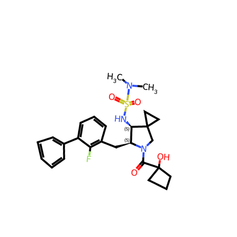 CN(C)S(=O)(=O)N[C@@H]1[C@H](Cc2cccc(-c3ccccc3)c2F)N(C(=O)C2(O)CCC2)CC12CC2